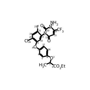 CCOC(=O)C(C)Oc1ccc(Oc2cc(-n3c(=O)cc(C(F)(F)F)n(N)c3=O)c(F)cc2Cl)cc1